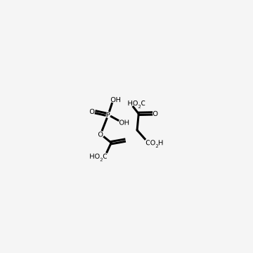 C=C(OP(=O)(O)O)C(=O)O.O=C(O)CC(=O)C(=O)O